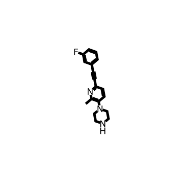 Cc1nc(C#Cc2cccc(F)c2)ccc1N1CCNCC1